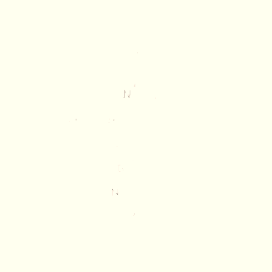 C/C=C1\CN(C(C)C)C(=O)\C1=B\N(C)C